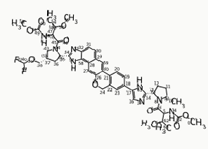 COC(=O)NC(C(=O)N1[C@@H](C)CC[C@H]1c1ncc(-c2ccc3c(c2)COc2cc4c(ccc5nc([C@@H]6C[C@H](COC(F)F)CN6C(=O)[C@@H](NC(=O)OC)[C@@H](C)OC)[nH]c54)cc2-3)[nH]1)C(C)C